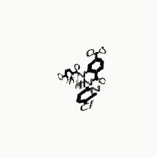 COC(=O)c1ccc(C(=O)Nc2ccc(Cl)cn2)c(NC(=O)c2ccc(Cl)nn2)c1